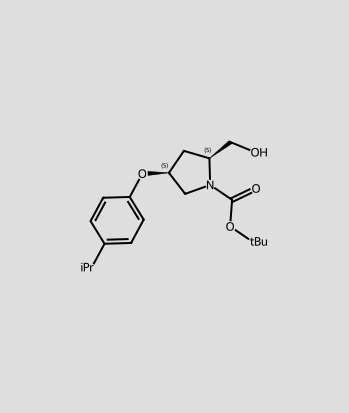 CC(C)c1ccc(O[C@H]2C[C@@H](CO)N(C(=O)OC(C)(C)C)C2)cc1